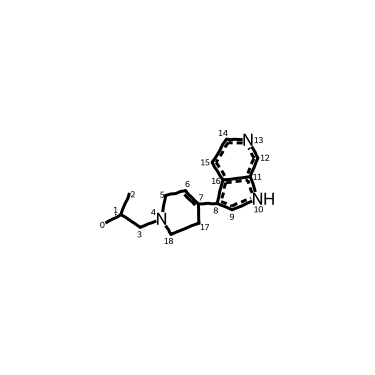 C[C](C)CN1CC=C(c2c[nH]c3cnccc23)CC1